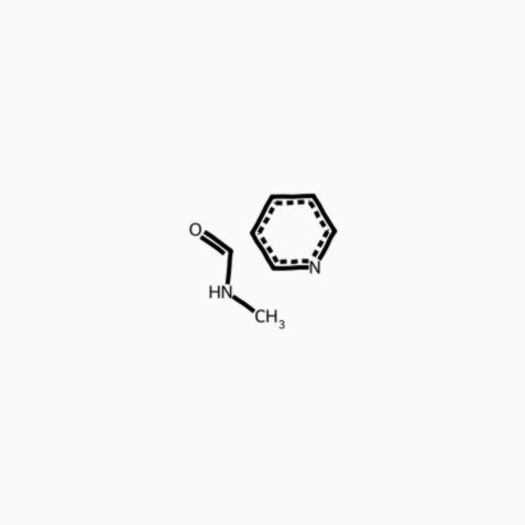 CNC=O.c1ccncc1